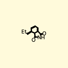 CCC=C1C=CC=C2C(=O)NC(=O)C12